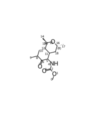 COC(=O)NC(C(=O)C(C)C)C1C[C@@H](C)O[C@H](C)C1